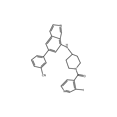 N#Cc1cccc(-c2cc(NC3CCN(C(=O)c4ccncc4I)CC3)c3cnccc3c2)c1